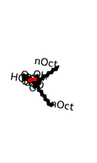 CCCCCCCC/C=C\CCCCCCCC(=O)C(OP(=O)(O)OP(=O)(O)O)(C(=O)CCCCCCC/C=C\CCCCCCCC)C(O)CO